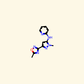 Cc1nc(-c2cc(Nc3ccccn3)n(C)n2)no1